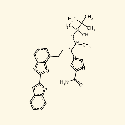 C[C@H](O[Si](C)(C)C(C)(C)C)[C@@H](CCc1cccc2nc(-c3cc4ccccc4s3)oc12)n1cnc(C(N)=O)c1